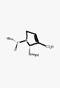 CCCCCCC[C@H]1C(C(=O)OCC)=CCN1[S@+]([O-])C(C)(C)C